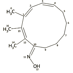 CC1=CC=CCCCCCC(=NO)C(C)=C1C